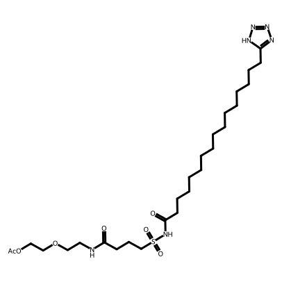 CC(=O)OCCOCCNC(=O)CCCS(=O)(=O)NC(=O)CCCCCCCCCCCCCCCc1nnn[nH]1